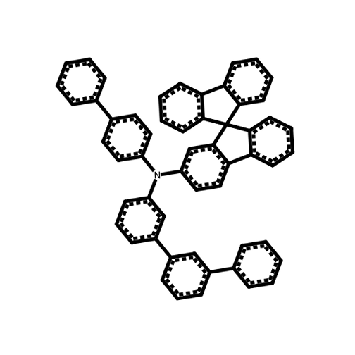 c1ccc(-c2ccc(N(c3cccc(-c4cccc(-c5ccccc5)c4)c3)c3ccc4c(c3)C3(c5ccccc5-c5ccccc53)c3ccccc3-4)cc2)cc1